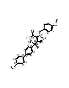 COc1ccc(Cn2nnc(C(F)(F)c3ccc(-c4ccc(Cl)cc4)cc3)c2C(=O)O)cc1